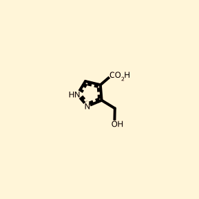 O=C(O)c1c[nH]nc1CO